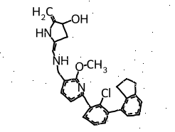 C=C1N/C(=C/NCc2ccc(-c3cccc(-c4cccc5c4CCC5)c3Cl)nc2OC)CC1O